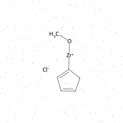 C[O][Zr+][C]1=CC=CC1.[Cl-]